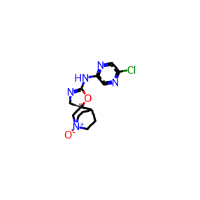 [O-][N+]12CCC(CC1)[C@]1(CN=C(Nc3cnc(Cl)cn3)O1)C2